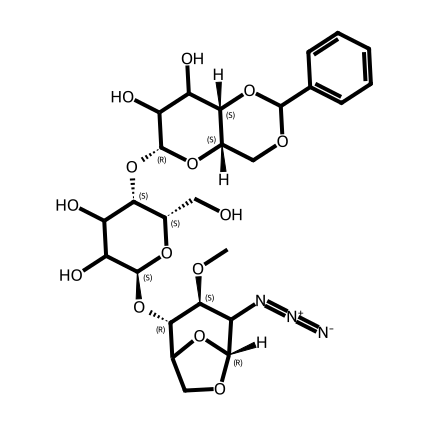 CO[C@H]1C(N=[N+]=[N-])[C@@H]2OCC(O2)[C@@H]1O[C@@H]1O[C@@H](CO)[C@@H](O[C@H]2O[C@H]3COC(c4ccccc4)O[C@H]3C(O)C2O)C(O)C1O